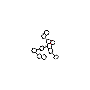 c1ccc(-c2ccc(N(c3ccc(-c4ccccc4-c4ccc5ccccc5c4)cc3)c3cccc(-c4cccc5ccccc45)c3)c(-c3ccccc3)c2)cc1